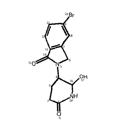 O=C1CCC(N2Cc3cc(Br)ccc3C2=O)C(O)N1